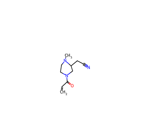 C=CC(=O)N1CCN(C)C(CC#N)C1